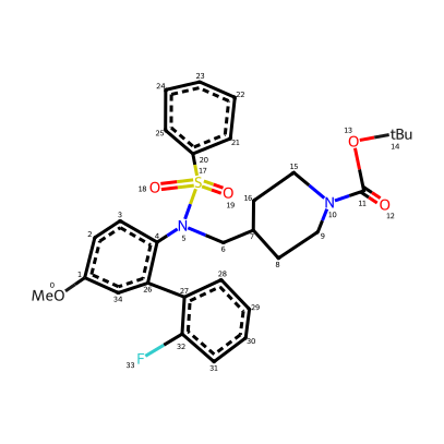 COc1ccc(N(CC2CCN(C(=O)OC(C)(C)C)CC2)S(=O)(=O)c2ccccc2)c(-c2ccccc2F)c1